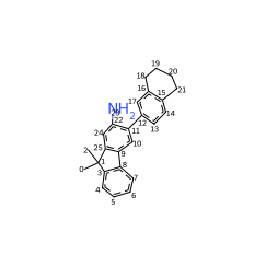 CC1(C)c2ccccc2-c2cc(-c3ccc4c(c3)CCCC4)c(N)cc21